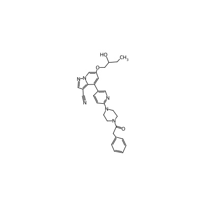 CCC(O)COc1cc(-c2ccc(N3CCN(C(=O)Cc4ccccc4)CC3)nc2)c2c(C#N)cnn2c1